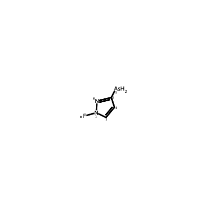 Fn1ccc([AsH2])n1